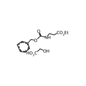 CCOC(=O)CCNC(=O)OCc1ccccc1.O=C(O)CO